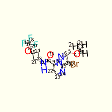 [2H]C([2H])([2H])OCc1nn2c(C(=O)N[C@H]3C[C@@H](OC(F)(F)F)C3)ccnc2c1Br